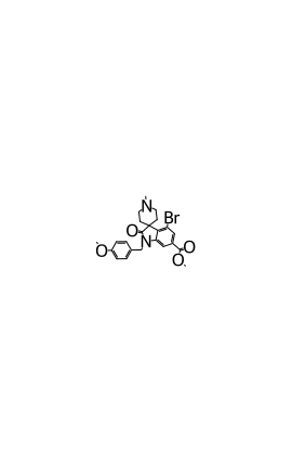 COC(=O)c1cc(Br)c2c(c1)N(Cc1ccc(OC)cc1)C(=O)C21CCN(C)CC1